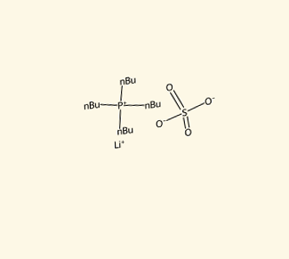 CCCC[P+](CCCC)(CCCC)CCCC.O=S(=O)([O-])[O-].[Li+]